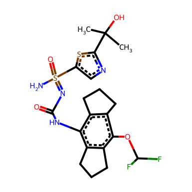 CC(C)(O)c1ncc(S(N)(=O)=NC(=O)Nc2c3c(c(OC(F)F)c4c2CCC4)CCC3)s1